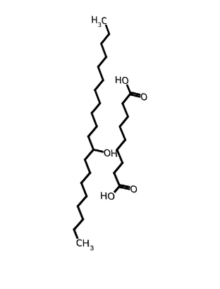 CCCCCCCCCCCC(O)CCCCCCCC.O=C(O)CCCCCCCC(=O)O